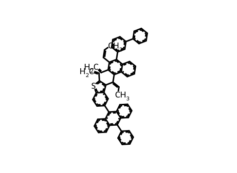 C=Cc1sc2ccc(-c3c4ccccc4c(-c4ccccc4)c4ccccc34)cc2c1/C(=C\C)c1c(C=C)c(/C=C\C)c(-c2cccc(-c3ccccc3)c2)c2ccccc12